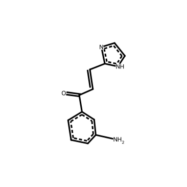 Nc1cccc(C(=O)C=Cc2ncc[nH]2)c1